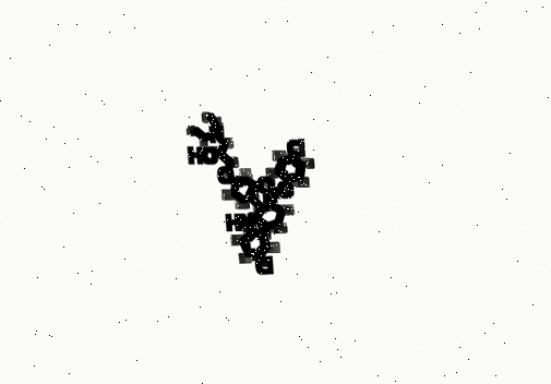 CCN(CC)CC(O)COC1=CC=C(C2c3[nH]c4ccc(Cl)cc4c3CCN2C(=O)Oc2ccc(Cl)cc2)CC1